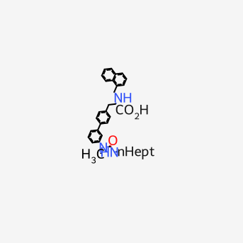 CCCCCCCNC(=O)N(C)c1cccc(-c2ccc(CC(NCc3cccc4ccccc34)C(=O)O)cc2)c1